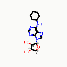 C[C@H]1O[C@@H](n2cnc3c(NC4CCCCC4)ncnc32)[C@H](O)[C@@H]1O